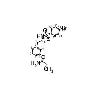 CCC(N)Oc1cccc(CCNS(=O)(=O)c2ccc(Br)cc2)c1